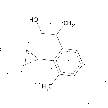 [CH2]C(CO)c1cccc(C)c1C1CC1